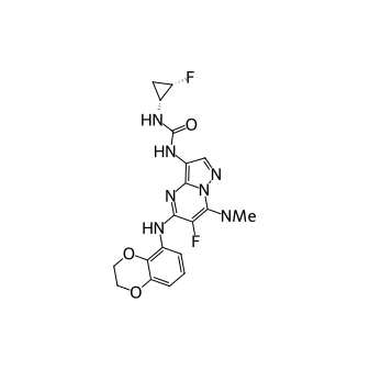 CNc1c(F)c(Nc2cccc3c2OCCO3)nc2c(NC(=O)N[C@@H]3C[C@@H]3F)cnn12